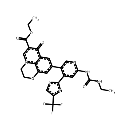 CCNC(=O)Nc1cc(-c2nc(C(F)(F)F)cs2)c(-c2cc3c4c(c2)c(=O)c(C(=O)OCC)cn4CCO3)cn1